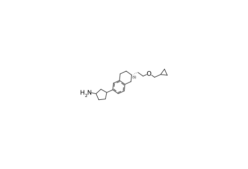 NC1CCC(c2ccc3c(c2)CC[C@H](CCOCC2CC2)C3)C1